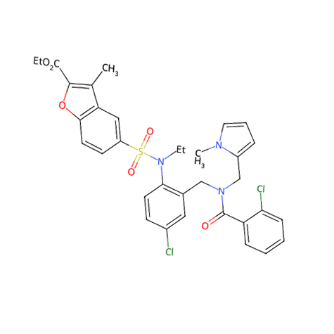 CCOC(=O)c1oc2ccc(S(=O)(=O)N(CC)c3ccc(Cl)cc3CN(Cc3cccn3C)C(=O)c3ccccc3Cl)cc2c1C